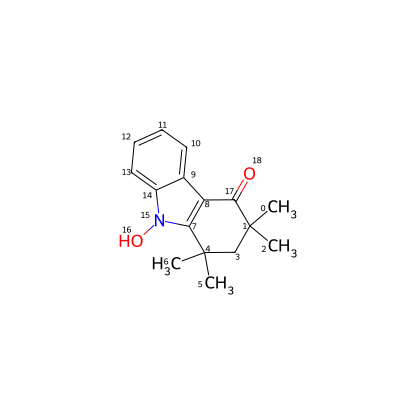 CC1(C)CC(C)(C)c2c(c3ccccc3n2O)C1=O